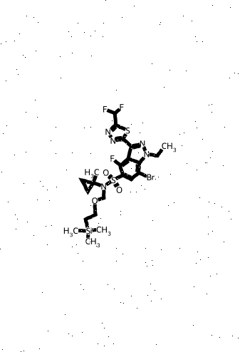 CCn1nc(-c2nnc(C(F)F)s2)c2c(F)c(S(=O)(=O)N(COCC[Si](C)(C)C)C3(C)CC3)cc(Br)c21